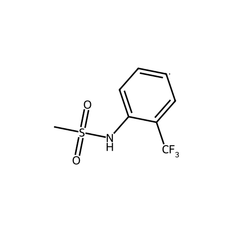 CS(=O)(=O)Nc1cc[c]cc1C(F)(F)F